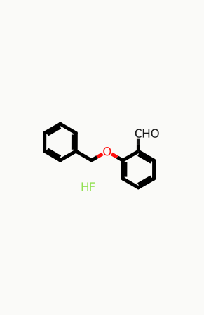 F.O=Cc1ccccc1OCc1ccccc1